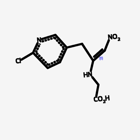 O=C(O)CN/C(=C/[N+](=O)[O-])Cc1ccc(Cl)nc1